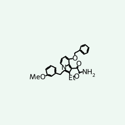 CCc1c(C(=O)C(N)=O)c2c(OCc3ccccc3)cccn2c1Cc1cccc(OC)c1